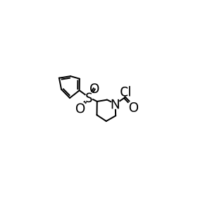 O=C(Cl)N1CCCC(S(=O)(=O)c2ccccc2)C1